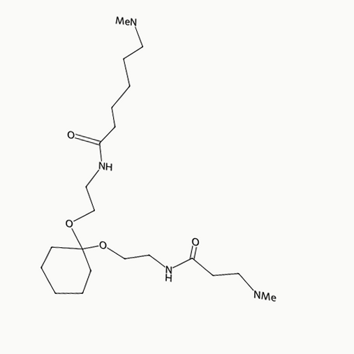 CNCCCCCC(=O)NCCOC1(OCCNC(=O)CCNC)CCCCC1